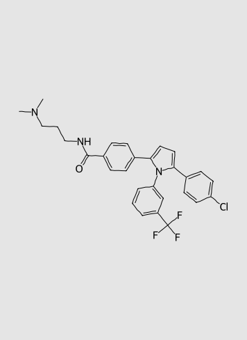 CN(C)CCCNC(=O)c1ccc(-c2ccc(-c3ccc(Cl)cc3)n2-c2cccc(C(F)(F)F)c2)cc1